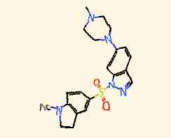 CC(=O)N1CCc2cc(S(=O)(=O)n3ncc4ccc(N5CCN(C)CC5)cc43)ccc21